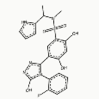 CC(c1ccc[nH]1)N(C)S(=O)(=O)c1cc(-c2nnc(O)n2-c2ccccc2F)c(O)cc1O